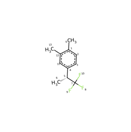 Cc1ccc([C@@H](C)C(F)(F)F)cc1C